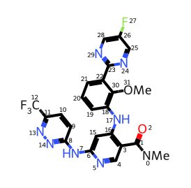 CNC(=O)c1cnc(Nc2ccc(C(F)(F)F)nn2)cc1Nc1cccc(-c2ncc(F)cn2)c1OC